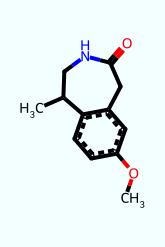 COc1ccc2c(c1)CC(=O)NCC2C